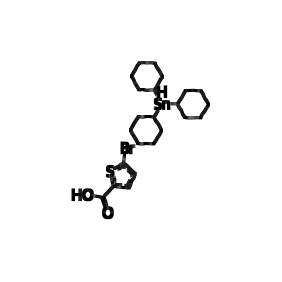 C1CC[CH]([SnH]([CH]2CCCCC2)[CH]2CCCCC2)CC1.O=C(O)c1ccc(Br)s1